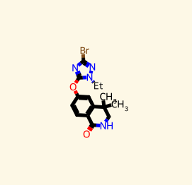 CCn1nc(Br)nc1Oc1ccc2c(c1)C(C)(C)CNC2=O